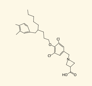 CCCCCC(CCCOc1c(Cl)cc(CN2CC(C(=O)O)C2)cc1Cl)Cc1ccc(C)c(C)c1